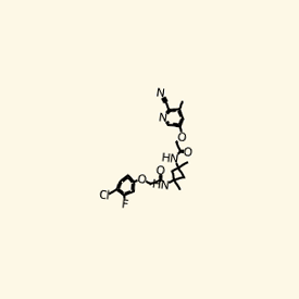 Cc1cc(OCC(=O)NC2(C)CC(C)(NC(=O)COc3ccc(Cl)c(F)c3)C2)cnc1C#N